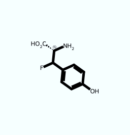 N[C@@H](C(=O)O)C(F)c1ccc(O)cc1